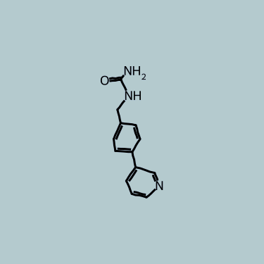 NC(=O)NCc1ccc(-c2cccnc2)cc1